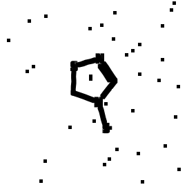 [S]N1C=NSC1